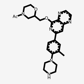 CC(=O)N1CCOC(COc2nc(-c3ccc(N4CCNCC4)c(C)c3)cc3nccnc23)C1